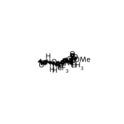 COC(=O)N[C@H](C(=O)N1C[C@@H](C)C[C@H]1c1nc2c(ccc3cc(-c4ccc(NC(=O)NCCNC5CCN(C(=O)C6CC6)CC5)cc4OC(F)(F)F)ccc32)[nH]1)C1CCOCC1